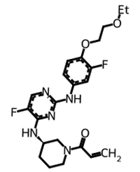 C=CC(=O)N1CCC[C@@H](Nc2nc(Nc3ccc(OCCOCC)c(F)c3)ncc2F)C1